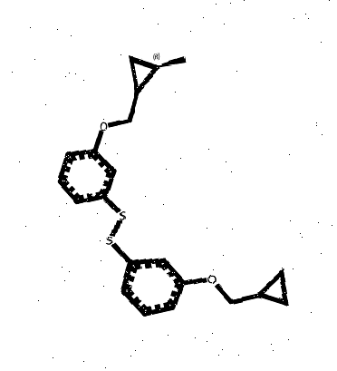 C[C@@H]1CC1COc1cccc(SSc2cccc(OCC3CC3)c2)c1